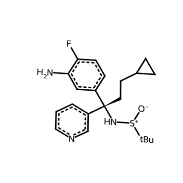 CC(C)(C)[S+]([O-])N[C@](CCC1CC1)(c1cccnc1)c1ccc(F)c(N)c1